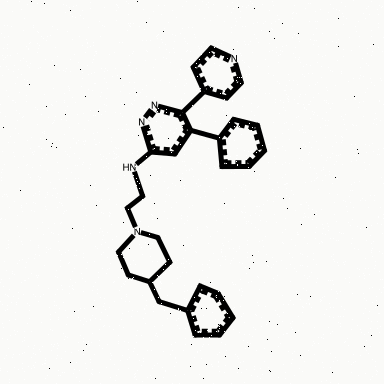 c1ccc(CC2CCN(CCNc3cc(-c4ccccc4)c(-c4ccncc4)nn3)CC2)cc1